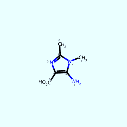 Cc1nc(C(=O)O)c(N)n1C